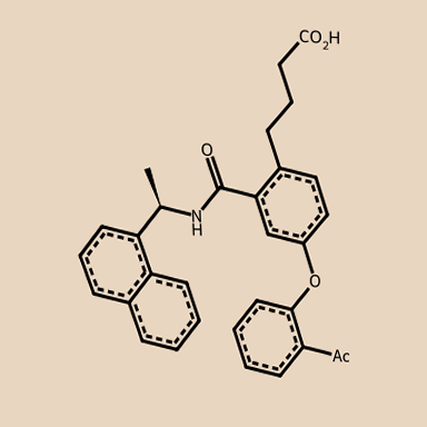 CC(=O)c1ccccc1Oc1ccc(CCCC(=O)O)c(C(=O)N[C@H](C)c2cccc3ccccc23)c1